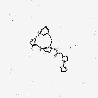 O=C(CC1CCN(c2nccs2)C1)Nc1ccc2cc1CCc1cncc(c1)Nc1ncc(Cl)c(n1)N2